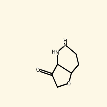 O=C1COC2CCNNC12